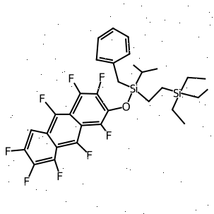 CC[Si](CC)(CC)CC[Si](Cc1ccccc1)(Oc1c(F)c(F)c2c(F)c3[c]c(F)c(F)c(F)c3c(F)c2c1F)C(C)C